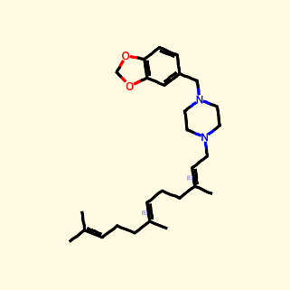 CC(C)=CCC/C(C)=C/CC/C(C)=C/CN1CCN(Cc2ccc3c(c2)OCO3)CC1